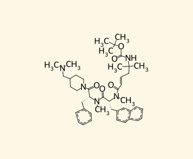 CN(C)CC1CCN(C(=O)[C@@H](Cc2ccccc2)N(C)C(=O)[C@@H](Cc2ccc3ccccc3c2)N(C)C(=O)C=CCC(C)(C)NC(=O)OC(C)(C)C)CC1